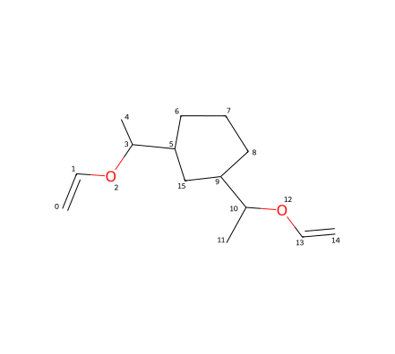 C=COC(C)C1CCCC(C(C)OC=C)C1